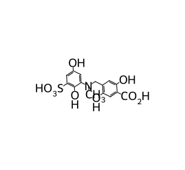 CN(Cc1cc(O)c(C(=O)O)cc1O)c1cc(O)cc(S(=O)(=O)O)c1O